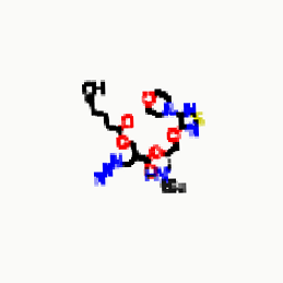 C#CCCCC(=O)OCC(CN=[N+]=[N-])C(=O)O[C@@H](CNC(C)(C)C)COc1nsnc1N1CCOCC1